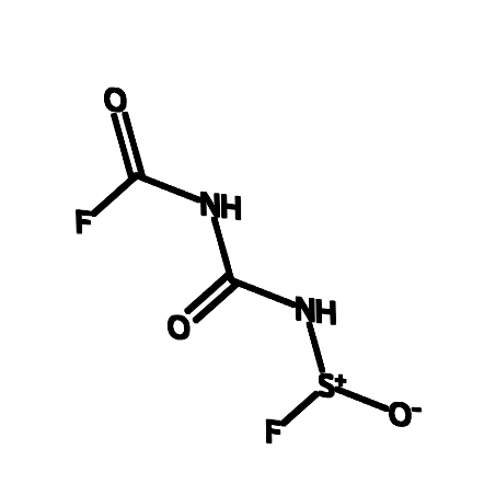 O=C(F)NC(=O)N[S+]([O-])F